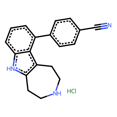 Cl.N#Cc1ccc(-c2cccc3[nH]c4c(c23)CCNCC4)cc1